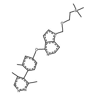 Cc1cc(Oc2nccc3c2ccn3COCC[Si](C)(C)C)ccc1-c1c(C)cnnc1C